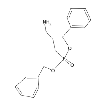 NCCCP(=O)(OCc1ccccc1)OCc1ccccc1